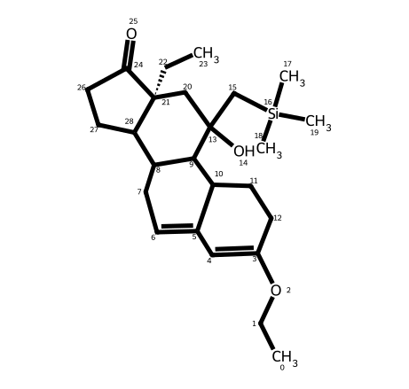 CCOC1=CC2=CCC3C(C2CC1)C(O)(C[Si](C)(C)C)C[C@]1(CC)C(=O)CCC31